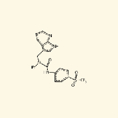 CC(C)N(Cc1c[nH]c2ncccc12)C(=O)Nc1ccc(S(=O)(=O)C(F)(F)F)cc1